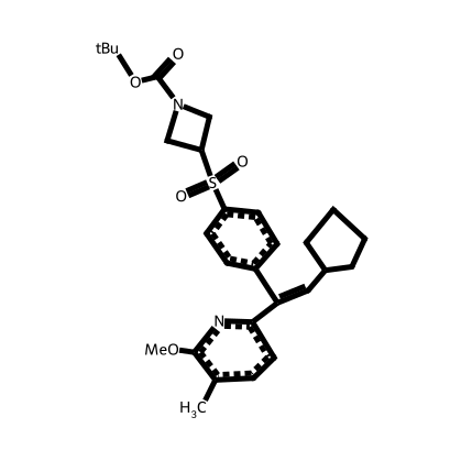 COc1nc(C(=CC2CCCC2)c2ccc(S(=O)(=O)C3CN(C(=O)OC(C)(C)C)C3)cc2)ccc1C